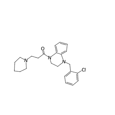 O=C(CCN1CCCCC1)N1CCN(Cc2ccccc2Cl)c2ccccc21